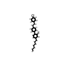 CCCCCCCc1ccc(-c2ccc(CCc3ccc(Cl)cc3)cc2)c(F)c1